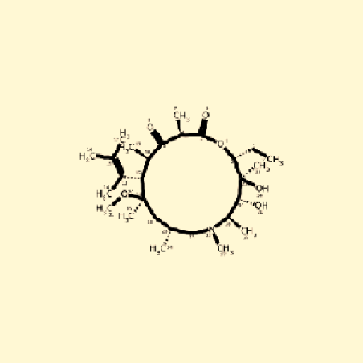 CC[C@H]1OC(=O)[C@H](C)C(=O)[C@H](C)[C@@H](C(C)=C(C)C)[C@](C)(OC)C[C@@H](C)CN(C)[C@H](C)[C@@H](O)[C@]1(C)O